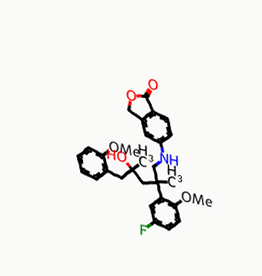 COc1ccccc1CC(C)(O)CC(C)(CNc1ccc2c(c1)COC2=O)c1cc(F)ccc1OC